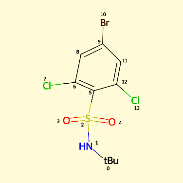 CC(C)(C)NS(=O)(=O)c1c(Cl)cc(Br)cc1Cl